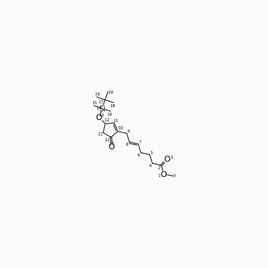 COC(=O)CCCC=CCC1=CC(O[Si](C)(C)C(C)(C)C)CC1=O